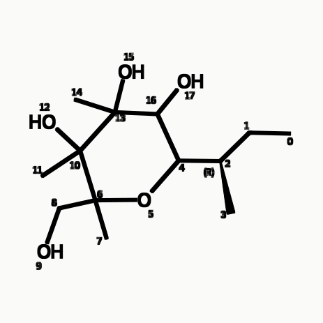 CC[C@@H](C)C1OC(C)(CO)C(C)(O)C(C)(O)C1O